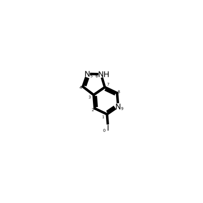 Ic1cc2cn[nH]c2cn1